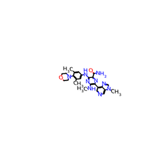 CNc1nc(Nc2cc(C)c(N3CCOCC3)c(C)c2)c(C(N)=O)nc1-c1cncc2c1ncn2C